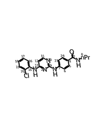 CCCNC(=O)c1ccc(Nc2nccc(Nc3ccccc3Cl)n2)cc1